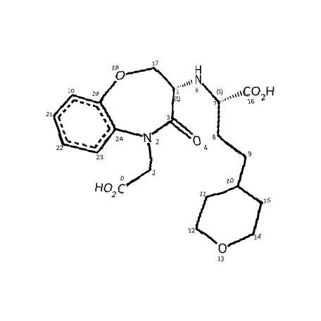 O=C(O)CN1C(=O)[C@@H](N[C@@H](CCC2CCOCC2)C(=O)O)COc2ccccc21